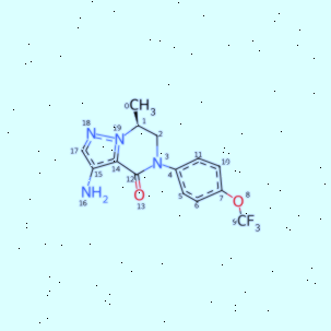 C[C@H]1CN(c2ccc(OC(F)(F)F)cc2)C(=O)c2c(N)cnn21